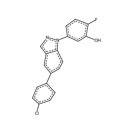 Oc1cc(-n2ncc3cc(-c4ccc(Cl)cc4)ccc32)ccc1F